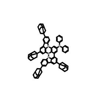 c1ccc(N(c2ccccc2)c2cc3c4c(c2)-n2c5ccc(C67CC8CC(CC(C8)C6)C7)cc5c5cc(C67CC8CC(CC(C8)C6)C7)cc(c52)B4n2c4ccc(C56CC7CC(CC(C7)C5)C6)cc4c4cc(C56CC7CC(CC(C7)C5)C6)cc-3c42)cc1